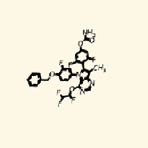 Cc1c(-c2c(F)cc(OC(N)=O)cc2F)n(-c2ccc(OCc3ccccc3)c(F)c2)c2c(OC(F)C(F)F)ncnc12